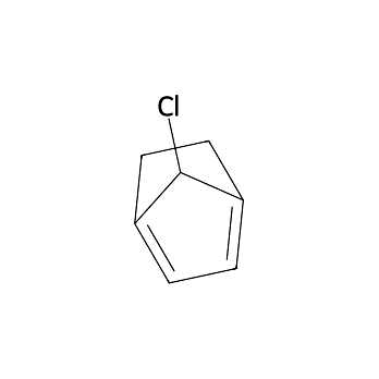 ClC1C2=CC=C1CC2